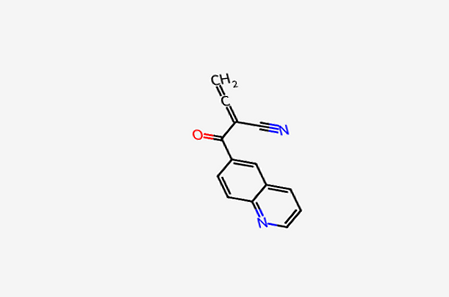 C=C=C(C#N)C(=O)c1ccc2ncccc2c1